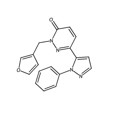 O=c1ccc(-c2ccnn2-c2ccccc2)nn1Cc1ccoc1